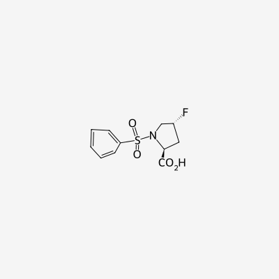 O=C(O)[C@@H]1C[C@@H](F)CN1S(=O)(=O)c1ccccc1